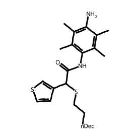 CCCCCCCCCCCCSC(C(=O)Nc1c(C)c(C)c(N)c(C)c1C)c1ccsc1